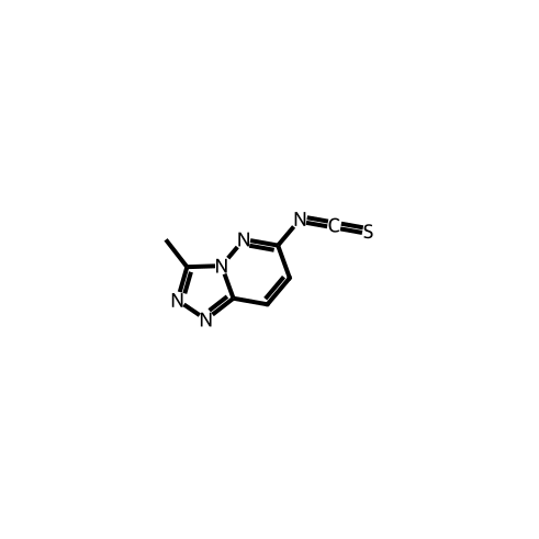 Cc1nnc2ccc(N=C=S)nn12